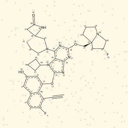 C#Cc1c(F)ccc2cc(O)cc(Oc3nc4nc(OC[C@@]56CCCN5C[C@H](F)C6)nc(N5CCC[C@@]6(CC(=O)N6)C5)c4n3C3CCC3)c12